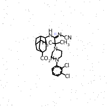 CC(C)(/C(=N\C#N)NC1C2CC3CC1CC(C(=O)O)(C3)C2)N1CCN(c2cccc(Cl)c2Cl)CC1